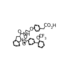 O=C(O)Cc1ccc(OCCNC(=O)[C@@H]2Cc3ccccc3N2S(=O)(=O)c2ccc(-c3ccccc3OC(F)(F)F)cc2)cc1